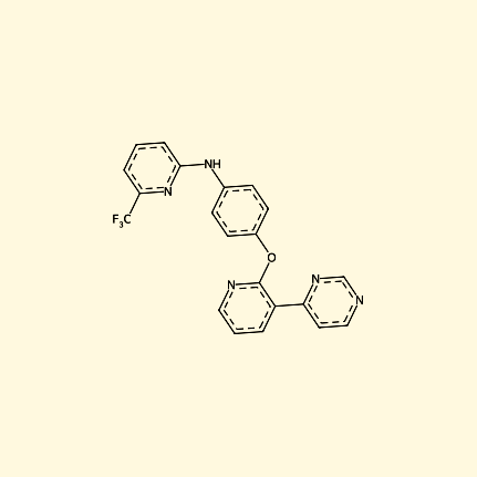 FC(F)(F)c1cccc(Nc2ccc(Oc3ncccc3-c3ccncn3)cc2)n1